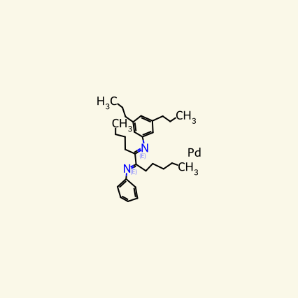 CCCCCC(=N\c1ccccc1)/C(CCCC)=N/c1cc(CCC)cc(CCC)c1.[Pd]